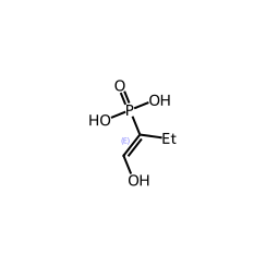 CC/C(=C\O)P(=O)(O)O